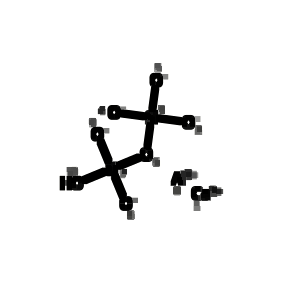 [Al+3].[Ca+2].[O-][Si]([O-])([O-])O[Si]([O-])([O-])O